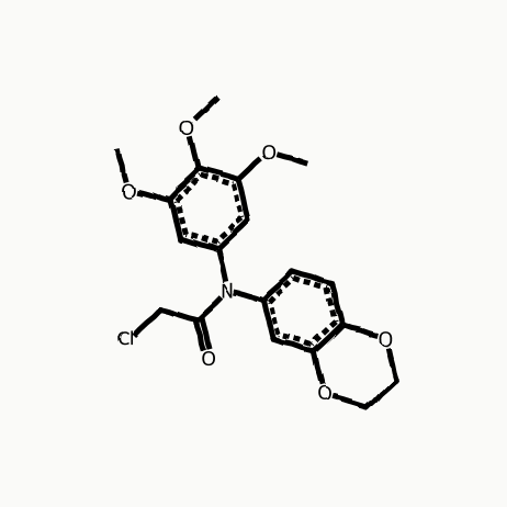 COc1cc(N(C(=O)CCl)c2ccc3c(c2)OCCO3)cc(OC)c1OC